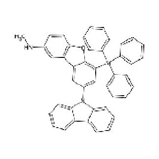 CNc1ccc2oc3c([Si](c4ccccc4)(c4ccccc4)c4ccccc4)cc(-n4c5ccccc5c5ccccc54)cc3c2c1